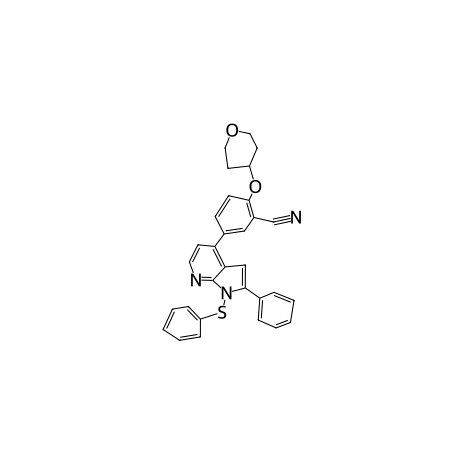 N#Cc1cc(-c2ccnc3c2cc(-c2ccccc2)n3Sc2ccccc2)ccc1OC1CCOCC1